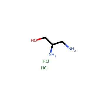 Cl.Cl.NCC(N)CO